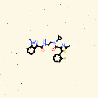 Cc1nc(C(=O)N(CCNC(=O)c2nn(C)c3ccccc23)C2CC2)c(-c2ccccc2F)s1